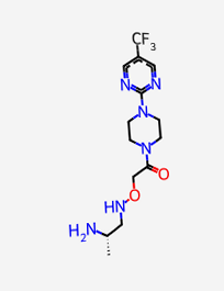 C[C@H](N)CNOCC(=O)N1CCN(c2ncc(C(F)(F)F)cn2)CC1